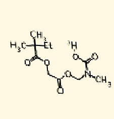 [3H]OC(=O)N(C)COC(=O)COC(=O)C(C)(C)CC